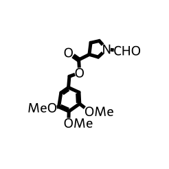 COc1cc(COC(=O)C2CCN(C=O)C2)cc(OC)c1OC